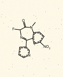 CN1C(=O)C(F)N=C(c2cccnc2)c2cc([N+](=O)[O-])ccc21